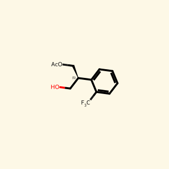 CC(=O)OC[C@H](CO)c1ccccc1C(F)(F)F